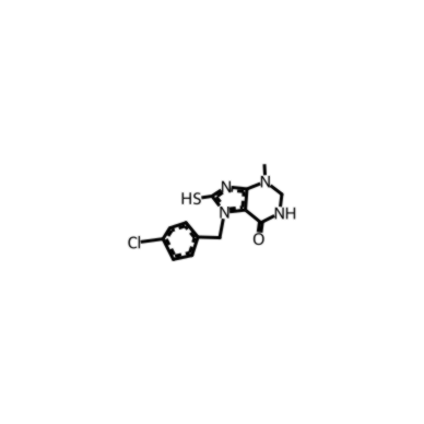 CN1CNC(=O)c2c1nc(S)n2Cc1ccc(Cl)cc1